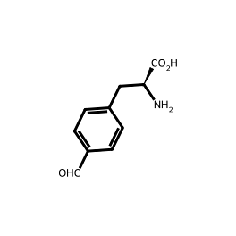 N[C@@H](Cc1ccc(C=O)cc1)C(=O)O